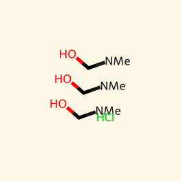 CNCO.CNCO.CNCO.Cl